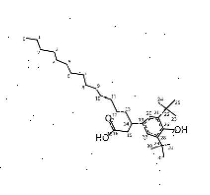 CCCCCCCCCCCCCCC(CC(=O)O)c1cc(C(C)(C)C)c(O)c(C(C)(C)C)c1